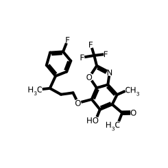 CC(=O)c1c(O)c(OCCC(C)c2ccc(F)cc2)c2oc(C(F)(F)F)nc2c1C